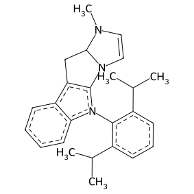 CC(C)c1cccc(C(C)C)c1-n1c2c(c3ccccc31)CC1N(C)C=CN21